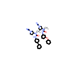 CN(C(=O)Nc1ccc(-c2ccccc2)cc1)C1CCN(C#N)C1.CN(C(=O)Nc1cccc(Oc2ccccc2)c1)C1CCN(C#N)C1